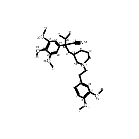 COc1ccc(CCN2CCCC(CC(C#N)(c3cc(OC)c(OC)c(OC)c3)C(C)C)C2)cc1OC